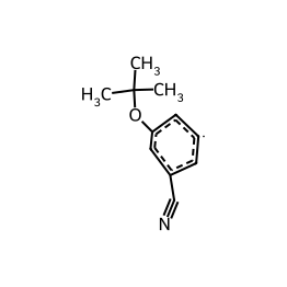 CC(C)(C)Oc1c[c]cc(C#N)c1